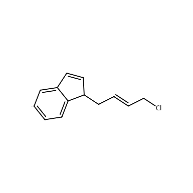 ClCC=CCC1C=Cc2c[c]ccc21